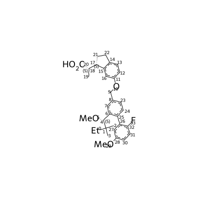 CCC(C)(C)[C@H](OC)c1cc(COc2ccc3c(c2)[C@H]([C@H](C)C(=O)O)CC3)ccc1-c1cc(OC)ccc1F